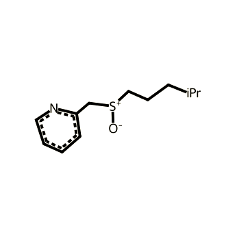 CC(C)CCC[S+]([O-])Cc1ccccn1